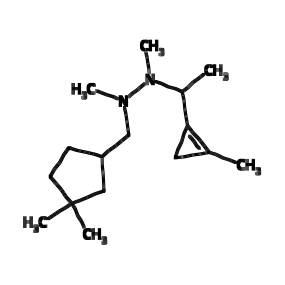 CC1=C(C(C)N(C)N(C)CC2CCC(C)(C)C2)C1